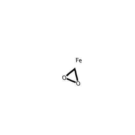 C1OO1.[Fe]